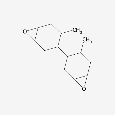 CC1CC2OC2CC1C1CC2OC2CC1C